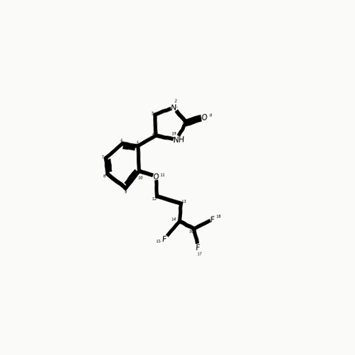 O=C1[N]CC(c2ccccc2OCCC(F)C(F)F)N1